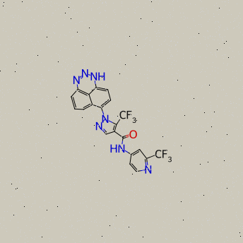 O=C(Nc1ccnc(C(F)(F)F)c1)c1cnn(-c2ccc3c4c(cccc24)N=NN3)c1C(F)(F)F